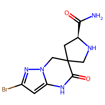 NC(=O)[C@@H]1CC2(CN1)Cn1nc(Br)cc1NC2=O